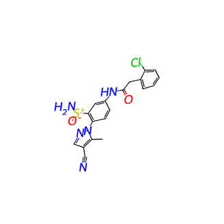 Cc1c(C#N)cnn1-c1ccc(NC(=O)Cc2ccccc2Cl)cc1[S+](N)[O-]